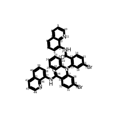 O=C(Nc1cccc2cccnc12)c1ccc(Br)cc1N(c1ccccc1)c1cc(Br)ccc1C(=O)Nc1cccc2cccnc12